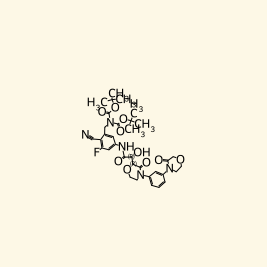 CC(C)(C)OC(=O)N(Cc1cc(NC(=O)[C@H](O)[C@H]2OCCN(c3cccc(N4CCOCC4=O)c3)C2=O)cc(F)c1C#N)C(=O)OC(C)(C)C